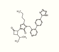 CCCCc1cn(C2C(=O)CC2C(C)C)c(=O)n1Cc1cnccc1-c1ccc(-c2nnn[nH]2)cc1